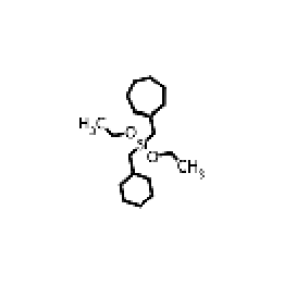 CCO[Si](CC1CCCCCC1)(CC1CCCCC1)OCC